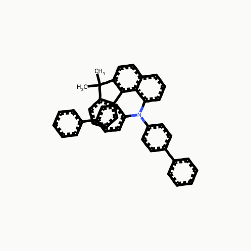 CC1(C)c2ccccc2-c2c1ccc1cccc(N(c3ccc(-c4ccccc4)cc3)c3ccc(-c4ccccc4)cc3)c21